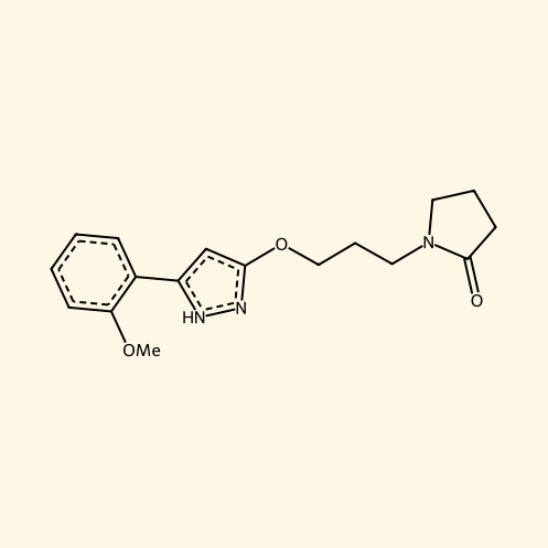 COc1ccccc1-c1cc(OCCCN2CCCC2=O)n[nH]1